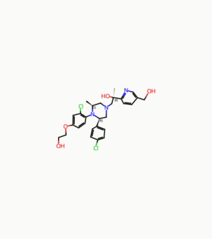 C[C@H]1CN(C[C@@](C)(O)c2ccc(CO)cn2)C[C@@H](c2ccc(Cl)cc2)N1c1ccc(OCCO)cc1Cl